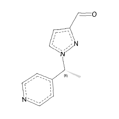 C[C@H](c1ccncc1)n1ccc(C=O)n1